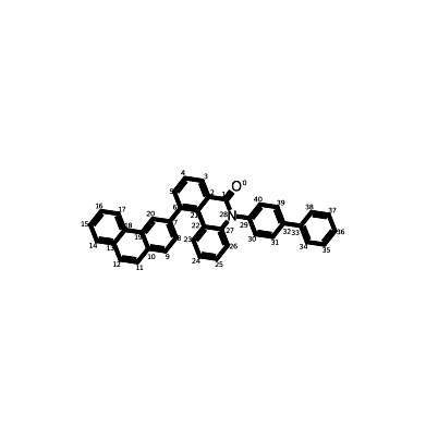 O=c1c2cccc(-c3ccc4ccc5ccccc5c4c3)c2c2ccccc2n1-c1ccc(-c2ccccc2)cc1